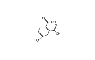 CC1=CCC(C(=O)O)=C(C(=O)O)C1